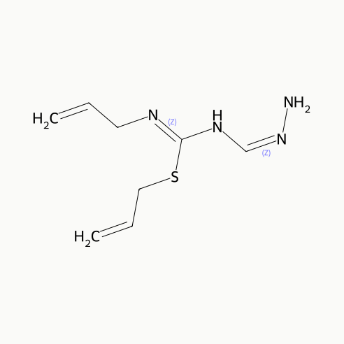 C=CC/N=C(/N/C=N\N)SCC=C